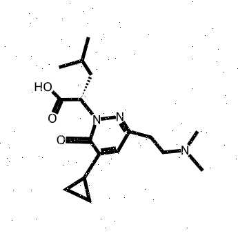 CC(C)C[C@@H](C(=O)O)n1nc(CCN(C)C)cc(C2CC2)c1=O